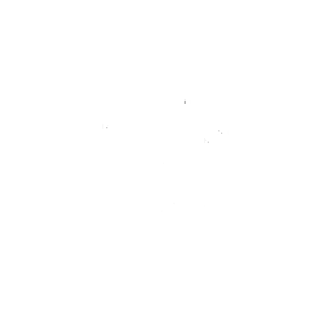 CCC(Oc1ccc(N2C=C(C(C)C)ON2)cc1)C(=O)OCC(=O)c1ccc(Br)c(F)c1